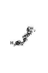 COC(=O)NC1CCC(c2ccc3c(c2)CCC(COc2cccc(OC)c2)C3)C1